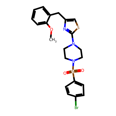 COc1ccccc1Cc1csc(N2CCN(S(=O)(=O)c3ccc(Br)cc3)CC2)n1